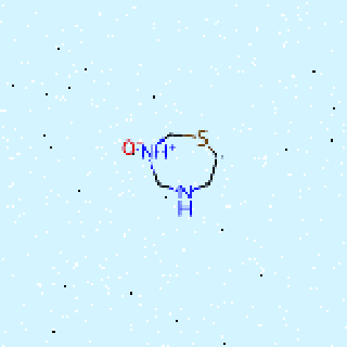 [O-][NH+]1CNC[CH]SC1